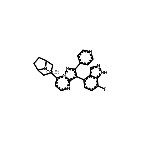 CCOC(=O)N1C2CCC1CC(c1ccnc3c(-c4ccc(F)c5[nH]ncc45)c(-c4ccncc4)nn13)C2